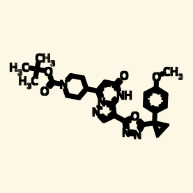 COc1ccc(C2(c3nnc(-c4cnn5c(C6CCN(C(=O)OC(C)(C)C)CC6)cc(=O)[nH]c45)o3)CC2)cc1